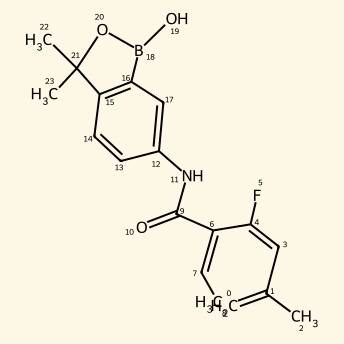 C=C(C)/C=C(F)\C(=C/C)C(=O)Nc1ccc2c(c1)B(O)OC2(C)C